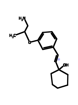 CC(CN)Oc1cccc(/C=C/C2(O)CCCCC2)c1